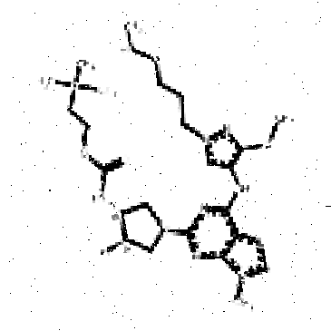 CNOCCCn1cc(Nc2nc(N3C[C@@H](F)[C@H](NC(=O)OCC[Si](C)(C)C)C3)nc3c2ncn3C)c(OC)n1